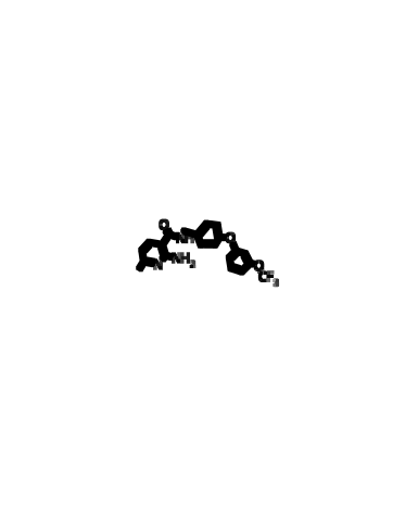 Cc1ccc(C(=O)NCc2ccc(Oc3cccc(OC(F)(F)F)c3)cc2)c(N)n1